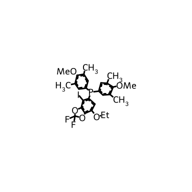 CCOc1cc(P(c2cc(C)c(OC)c(C)c2)c2cc(C)c(OC)c(C)c2)c(I)c2c1OC(F)(F)O2